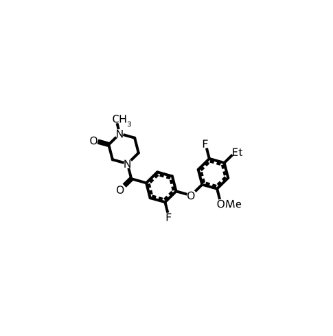 CCc1cc(OC)c(Oc2ccc(C(=O)N3CCN(C)C(=O)C3)cc2F)cc1F